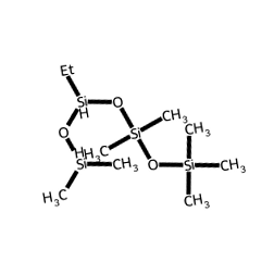 CC[SiH](O[SiH](C)C)O[Si](C)(C)O[Si](C)(C)C